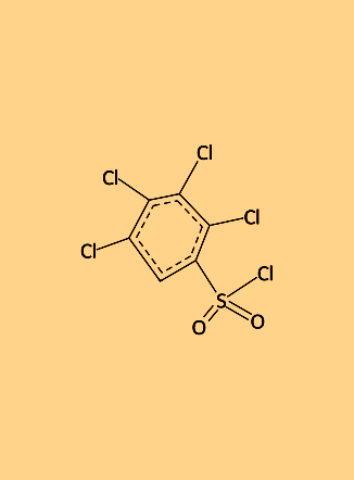 O=S(=O)(Cl)c1cc(Cl)c(Cl)c(Cl)c1Cl